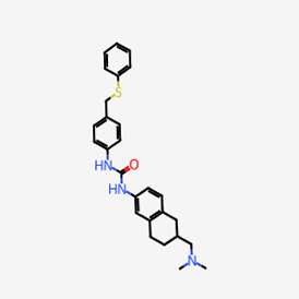 CN(C)CC1CCc2cc(NC(=O)Nc3ccc(CSc4ccccc4)cc3)ccc2C1